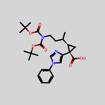 CC(CCN(C(=O)OC(C)(C)C)C(=O)OC(C)(C)C)[C@H]1C[C@]1(C(=O)O)c1cn(-c2ccccc2)cn1